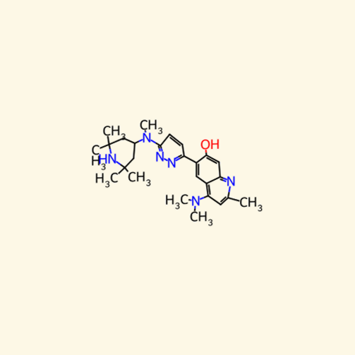 Cc1cc(N(C)C)c2cc(-c3ccc(N(C)C4CC(C)(C)NC(C)(C)C4)nn3)c(O)cc2n1